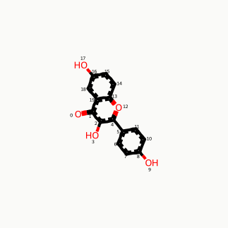 O=c1c(O)c(-c2ccc(O)cc2)oc2ccc(O)cc12